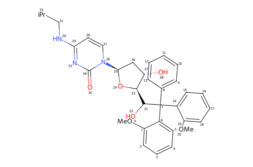 COc1ccccc1C(c1ccccc1)(c1ccccc1OC)C(O)[C@H]1O[C@@H](n2ccc(NCC(C)C)nc2=O)C[C@@H]1O